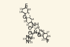 O=C(Nc1ccc(Oc2ccc(F)cc2)cc1)[C@@H]1C[C@@H](Cc2ccc(F)cc2)C(=O)N1C(=O)Cn1cncn1